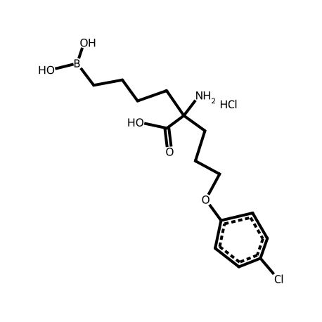 Cl.NC(CCCCB(O)O)(CCCOc1ccc(Cl)cc1)C(=O)O